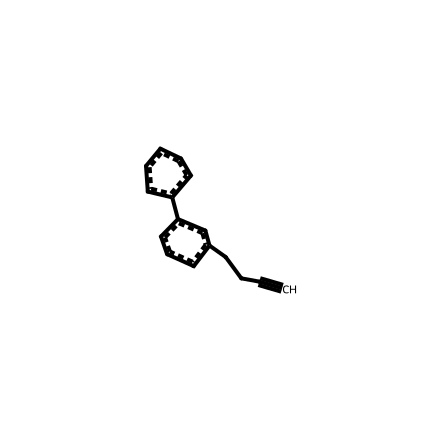 C#CCCc1cccc(-c2ccccc2)c1